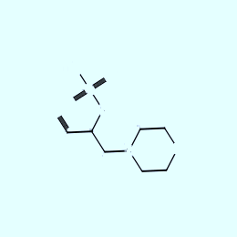 CS(=O)(=O)NC([C]=S)CN1CCOCC1